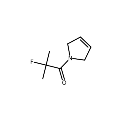 CC(C)(F)C(=O)N1CC=CC1